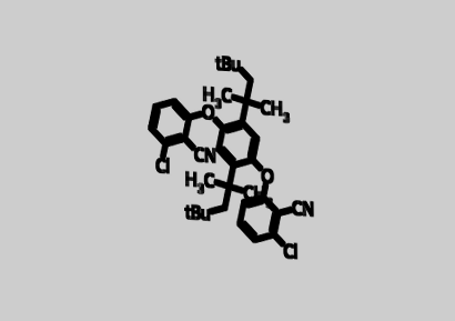 CC(C)(C)CC(C)(C)c1cc(Oc2cccc(Cl)c2C#N)c(C(C)(C)CC(C)(C)C)cc1Oc1cccc(Cl)c1C#N